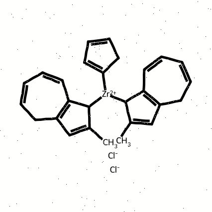 CC1=CC2=C(C=CC=CC2)[CH]1[Zr+2]([C]1=CC=CC1)[CH]1C(C)=CC2=C1C=CC=CC2.[Cl-].[Cl-]